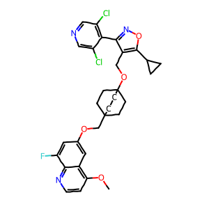 COc1ccnc2c(F)cc(OCC34CCC(OCc5c(-c6c(Cl)cncc6Cl)noc5C5CC5)(CC3)CC4)cc12